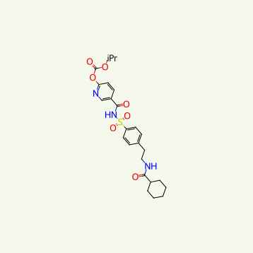 CC(C)OC(=O)Oc1ccc(C(=O)NS(=O)(=O)c2ccc(CCNC(=O)C3CCCCC3)cc2)cn1